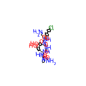 C[C@@H]1NC(=O)[C@@H](N(C)C(=O)[C@H](CCCCN)NS(=O)(=O)c2ccc(-c3ccc(Cl)cc3)cc2)c2ccc(O)c(c2)-c2cc(ccc2O)C[C@@H](C(=O)N[C@@H](C)C(=O)N2CCC[C@H]2C(N)=O)NC1=O